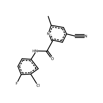 Cc1cc(C#N)cc(C(=O)Nc2ccc(F)c(Cl)c2)n1